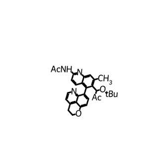 CC(=O)Nc1ccc2c(-c3ccc4c5c(ccnc35)CCO4)c(C(OC(C)(C)C)C(C)=O)c(C)cc2n1